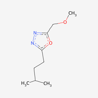 COCc1nnc(CCC(C)C)o1